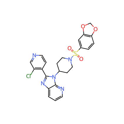 O=S(=O)(c1ccc2c(c1)OCO2)N1CCC(n2c(-c3ccncc3Cl)nc3cccnc32)CC1